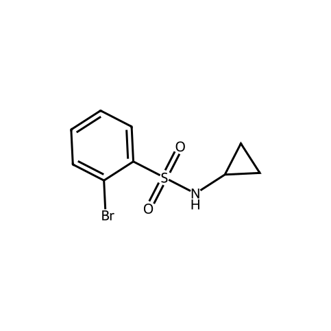 O=S(=O)(NC1CC1)c1ccccc1Br